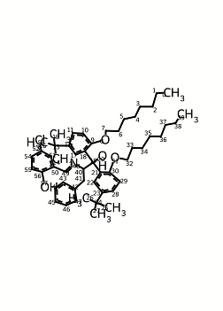 CCCCCCCCOc1ccc(C(C)(C)C)cc1C(O)(c1cc(C(C)(C)C)ccc1OCCCCCCCC)C(Cc1ccccc1)N=Cc1cc(Cl)ccc1O